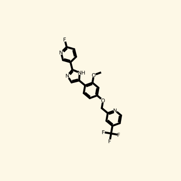 COc1cc(OCc2cc(C(F)(F)F)ccn2)ccc1-c1cnc(-c2ccc(F)nc2)[nH]1